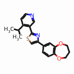 CC(C)c1ccncc1-c1nc(-c2ccc3c(c2)OCCCO3)cs1